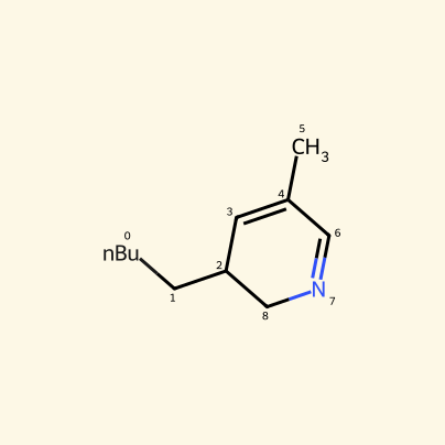 CCCCCC1C=C(C)C=NC1